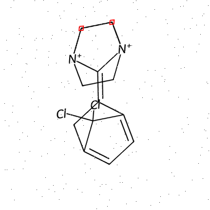 ClC1(Cl)C2=CC=C1C(=C1[N+]34CC[N+]1(CC3)CC4)C2